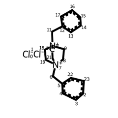 [Cl-].[Cl-].c1ccc(C[N+]23CC[N+](Cc4ccccc4)(CC2)CC3)cc1